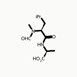 CC(C)C[C@@H](C(=O)N[C@@H](C)C(=O)O)N(C)C=O